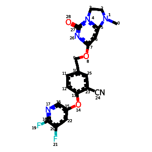 CN1CCn2c1cc(OCc1ccc(Oc3cnc(F)c(F)c3)c(C#N)c1)nc2=O